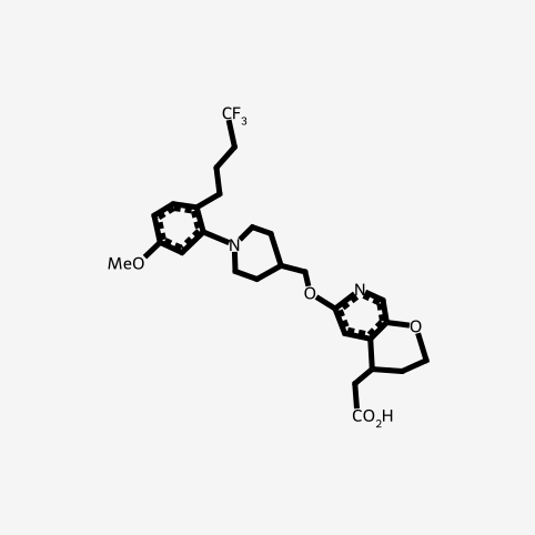 COc1ccc(CCCC(F)(F)F)c(N2CCC(COc3cc4c(cn3)OCCC4CC(=O)O)CC2)c1